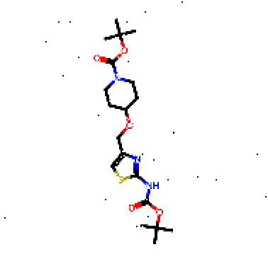 CC(C)(C)OC(=O)Nc1nc(COC2CCN(C(=O)OC(C)(C)C)CC2)cs1